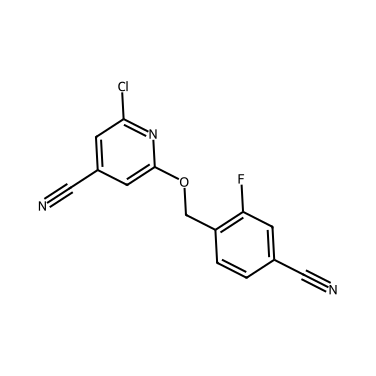 N#Cc1cc(Cl)nc(OCc2ccc(C#N)cc2F)c1